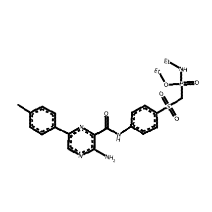 CCNP(=O)(CS(=O)(=O)c1ccc(NC(=O)c2nc(-c3ccc(C)cc3)cnc2N)cc1)OCC